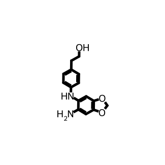 Nc1cc2c(cc1Nc1ccc(CCO)cc1)OCO2